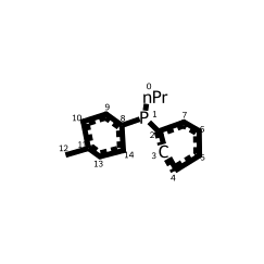 CCCP(c1ccccc1)c1ccc(C)cc1